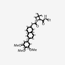 CCNC(=O)C1N(C(=O)Cc2ccc3cc(-c4cc(OC)c(OC)c(OC)c4)ccc3c2)CC1(C)C